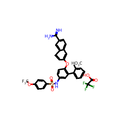 N=C(N)c1ccc2cc(Oc3ccc(NS(=O)(=O)c4ccc(OC(F)(F)F)cc4)cc3-c3ccccc3C(=O)O)ccc2c1.O=C(O)C(F)(F)F